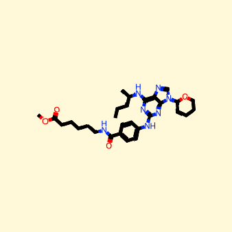 CCCC(C)Nc1nc(Nc2ccc(C(=O)NCCCCCC(=O)OC)cc2)nc2c1ncn2C1CCCCO1